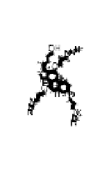 C[C@H](CCCO)[C@H]1CC[C@H]2[C@@H]3[C@H](OCCCN=[N+]=[N-])C[C@@H]4C[C@H](OCCCN=[N+]=[N-])CC[C@]4(C)[C@H]3CC(OCCCN=[N+]=[N-])[C@]12C